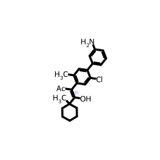 CC(=O)/C(=C(/O)C1(C)CCCCC1)c1cc(Cl)c(-c2cccc(N)c2)cc1C